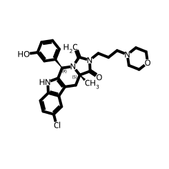 C=C1N(CCCN2CCOCC2)C(=O)[C@]2(C)Cc3c([nH]c4ccc(Cl)cc34)[C@@H](c3cccc(O)c3)N12